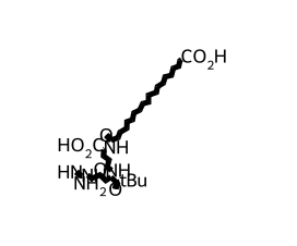 CC(C)(C)C(=O)C(CCCNC(=N)N)NC(=O)CCC(NC(=O)CCCCCCCCCCCCCCCCCCC(=O)O)C(=O)O